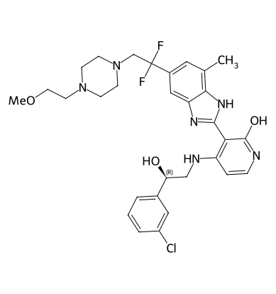 COCCN1CCN(CC(F)(F)c2cc(C)c3[nH]c(-c4c(NC[C@H](O)c5cccc(Cl)c5)ccnc4O)nc3c2)CC1